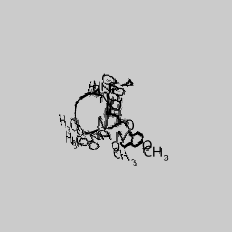 CC[C@@H]1O[C@H](C)CCC=C[C@@H]2C[C@@]2(C(=O)NS(=O)(=O)C2CC2)NC(=O)[C@@H]2C[C@@H](Oc3nc(OC)cc4cc(OC)ccc34)CN2C(=O)[C@H]1NC(=O)O